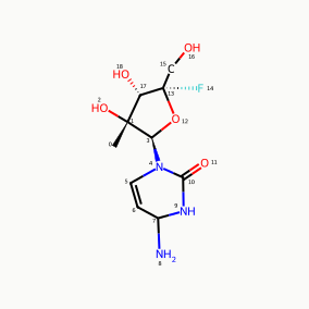 C[C@]1(O)[C@H](N2C=CC(N)NC2=O)O[C@](F)(CO)[C@H]1O